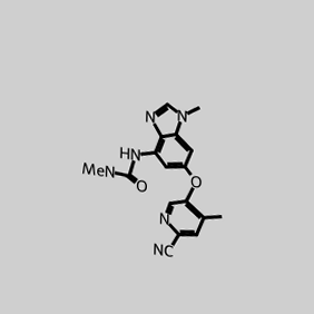 CNC(=O)Nc1cc(Oc2cnc(C#N)cc2C)cc2c1ncn2C